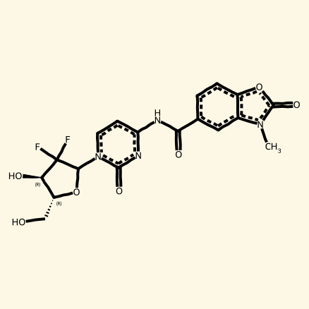 Cn1c(=O)oc2ccc(C(=O)Nc3ccn(C4O[C@H](CO)[C@@H](O)C4(F)F)c(=O)n3)cc21